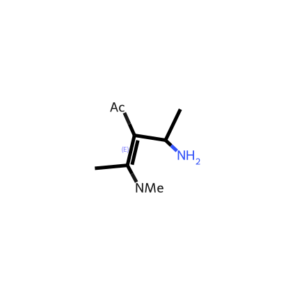 CN/C(C)=C(/C(C)=O)C(C)N